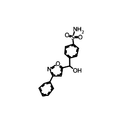 NS(=O)(=O)c1ccc(C(O)c2cc(-c3ccccc3)no2)cc1